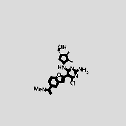 C=C(NC)c1ccc2oc(-c3c(Cl)nc(N)nc3N[C@@H]3C[C@H](CO)[C@@H](C)[C@H]3C)cc2c1